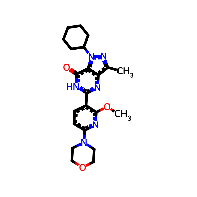 COc1nc(N2CCOCC2)ccc1-c1nc2c(C)nn(C3CCCCC3)c2c(=O)[nH]1